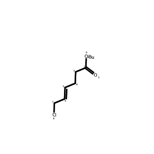 CC(C)COC(=O)CCC=CCCl